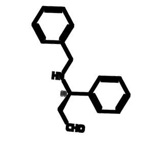 O=CC[C@@H](NCc1ccccc1)c1ccccc1